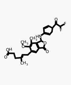 COc1c(C/C=C(\C)CCC(=O)O)cc2c(c1C)C(NC1=CCC(C(=O)C(F)F)C=C1)OC2=O